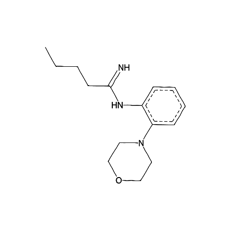 CCCCC(=N)Nc1ccccc1N1CCOCC1